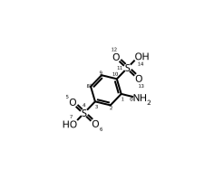 Nc1cc(S(=O)(=O)O)[c]cc1S(=O)(=O)O